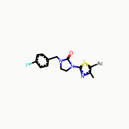 CC(=O)c1sc(N2CCN(Cc3ccc(F)cc3)C2=O)nc1C